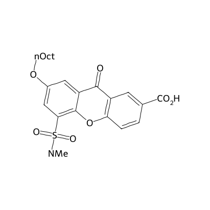 CCCCCCCCOc1cc(S(=O)(=O)NC)c2oc3ccc(C(=O)O)cc3c(=O)c2c1